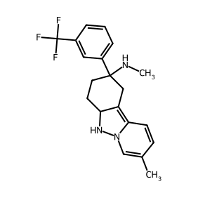 CNC1(c2cccc(C(F)(F)F)c2)CCC2NN3C=C(C)C=CC3=C2C1